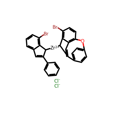 Brc1cccc2c1[CH]([Zr+2][CH]1c3cc4c1c(Br)ccc4oc1ccc3cc1)C(c1ccccc1)=C2.[Cl-].[Cl-]